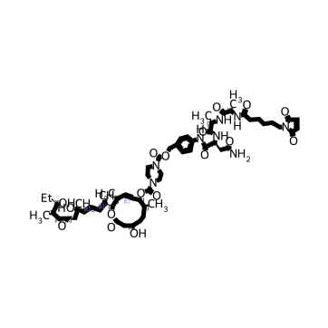 CC[C@H](O)[C@@H](C)[C@H]1O[C@@H]1CC(C)(O)/C=C/C=C(\C)[C@H]1OC(=O)C[C@H](O)CC[C@H](C)[C@@H](OC(=O)N2CCN(C(=O)OCc3ccc(NC(=O)[C@H](CC(N)=O)NC(=O)[C@H](C)NC(=O)[C@H](C)NC(=O)CCCCCN4C(=O)C=CC4=O)cc3)CC2)/C=C/[C@@H]1C